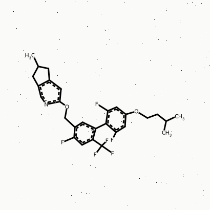 CC(C)CCOc1cc(F)c(-c2cc(COc3cc4c(cn3)CC(C)C4)c(F)cc2C(F)(F)F)c(F)c1